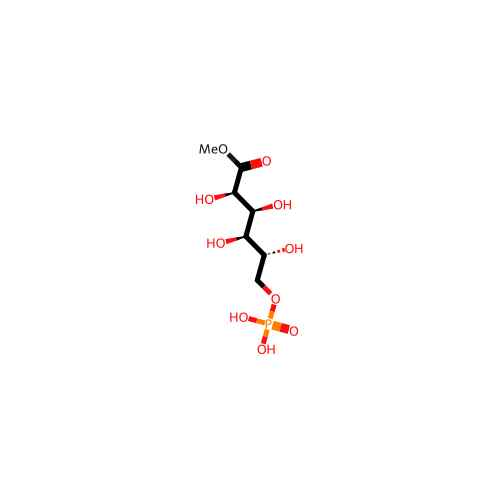 COC(=O)[C@H](O)[C@@H](O)[C@H](O)[C@H](O)COP(=O)(O)O